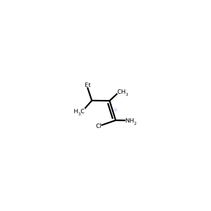 CCC(C)/C(C)=C(/N)Cl